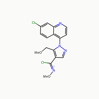 COCc1c(/C(Cl)=N/OC)cnn1-c1ccnc2cc(Cl)ccc12